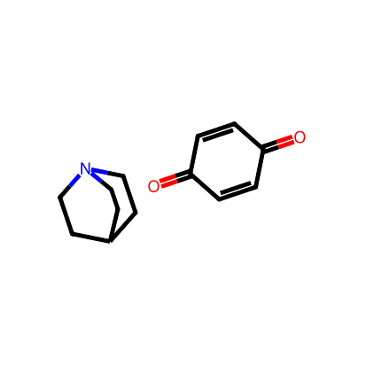 C1CN2CCC1CC2.O=C1C=CC(=O)C=C1